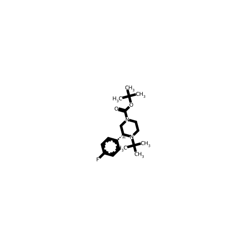 CC(C)(C)OC(=O)N1CCN(C(C)(C)C)[C@H](c2ccc(F)cc2)C1